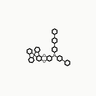 c1ccc(-c2ccc(-c3ccc(N(c4ccc(-c5ccccc5)cc4)c4ccc5c(c4)Oc4c(ccc6c4-c4ccccc4C64c6ccccc6-c6ccccc64)O5)cc3)cc2)cc1